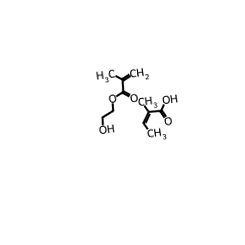 C=C(C)C(=O)OCCO.CC=C(C)C(=O)O